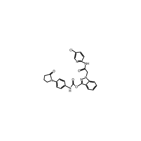 O=C(Cn1nc(OC(=O)Nc2ccc(N3CCCC3=O)cc2)c2ccccc21)Nc1ccc(Cl)cn1